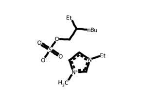 CCCCC(CC)COS(=O)(=O)[O-].CCn1cc[n+](C)c1